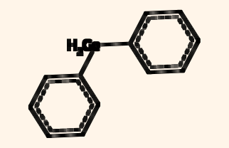 c1cc[c]([GeH2][c]2ccccc2)cc1